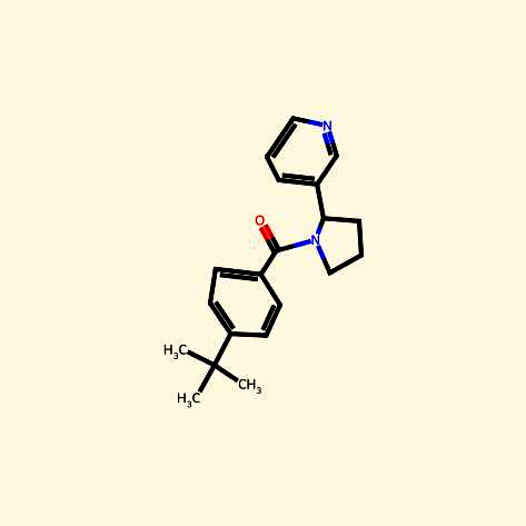 CC(C)(C)c1ccc(C(=O)N2CCCC2c2cccnc2)cc1